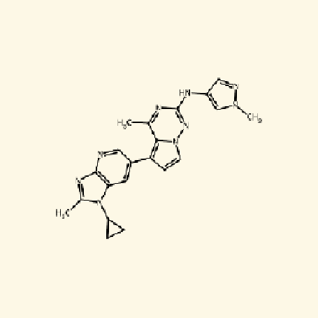 Cc1nc(Nc2cnn(C)c2)nn2ccc(-c3cnc4nc(C)n(C5CC5)c4c3)c12